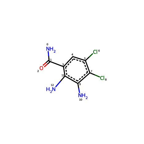 NC(=O)c1cc(Cl)c(Cl)c(N)c1N